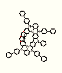 c1ccc(-c2ccc(N3c4ccc(-c5ccccc5)cc4B4c5cc6c7cc8c(cc7n(-c7ccccc7)c6cc5N(c5ccc(-c6ccccc6)cc5)c5cccc3c54)N(c3ccc(-c4ccccc4)cc3)c3cccc4c3B8c3cc(-c5ccccc5)ccc3N4c3ccc(-c4ccccc4)cc3)cc2)cc1